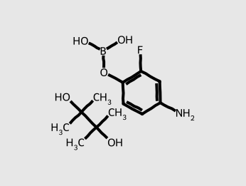 CC(C)(O)C(C)(C)O.Nc1ccc(OB(O)O)c(F)c1